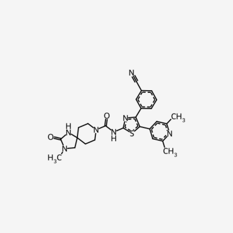 Cc1cc(-c2sc(NC(=O)N3CCC4(CC3)CN(C)C(=O)N4)nc2-c2cccc(C#N)c2)cc(C)n1